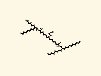 CCCCCCCCCCC(CCCCCCCC)CNC(=O)CCCCCN(CCO)CCCCCC(=O)NCC(CCCCCC)CCCCCCCC